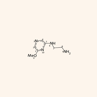 COc1cncc(NCCN)n1